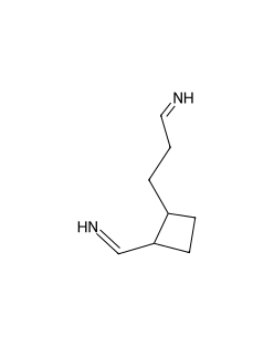 N=CCCC1CCC1C=N